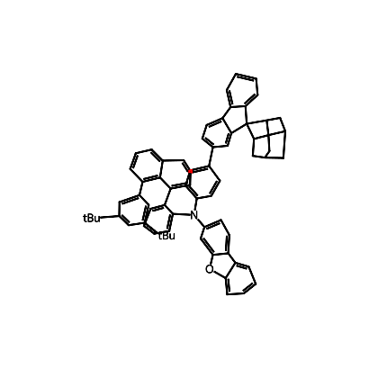 CC(C)(C)c1cc(-c2cccc3cccc(-c4ccccc4N(c4ccc(-c5ccc6c(c5)C5(c7ccccc7-6)C6CC7CC8CC5C86C7)cc4)c4ccc5c(c4)oc4ccccc45)c23)cc(C(C)(C)C)c1